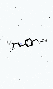 CC(=O)/C=C/c1ccc(COO)cc1